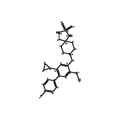 CCOc1cc(-c2ccc(F)cc2)c(C2CC2)cc1CN1CCC2(CC1)CNS(=O)(=O)N2